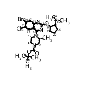 C[C@H]1CN(C(=O)OC(C)(C)C)CCN1c1nc(OC2CCCC2N(C)C)nc2cc(Br)c(Cl)cc12